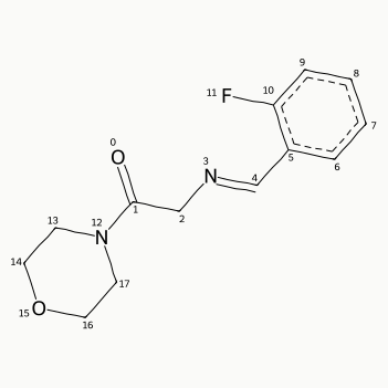 O=C(CN=Cc1ccccc1F)N1CCOCC1